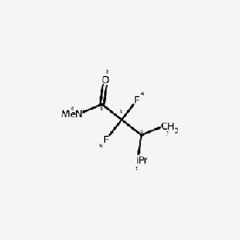 CNC(=O)C(F)(F)C(C)C(C)C